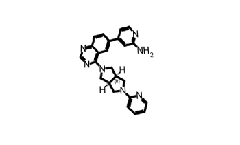 Nc1cc(-c2ccc3ncnc(N4C[C@H]5CN(c6ccccn6)C[C@H]5C4)c3c2)ccn1